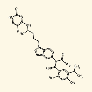 CC(C)c1cc(C(=N)N(C(N)=O)c2ccc3c(ccn3CCOC(O)Nc3nc(=O)[nH]cc3F)c2)c(O)cc1O